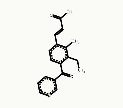 CCc1c(C(=O)c2cccnc2)ccc(C=CC(=O)O)c1C